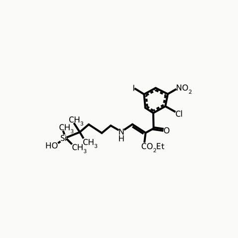 CCOC(=O)C(=CNCCCC(C)(C)[Si](C)(C)O)C(=O)c1cc(I)cc([N+](=O)[O-])c1Cl